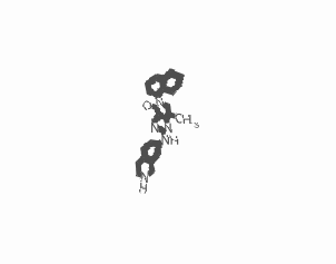 Cc1cn(-c2cccc3ccccc23)c(=O)c2cnc(Nc3ccc4c(c3)CNCC4)nc12